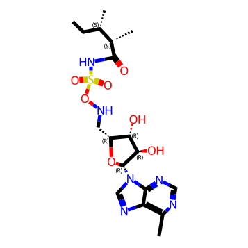 CC[C@H](C)[C@H](C)C(=O)NS(=O)(=O)ONC[C@H]1O[C@@H](n2cnc3c(C)ncnc32)[C@H](O)[C@H]1O